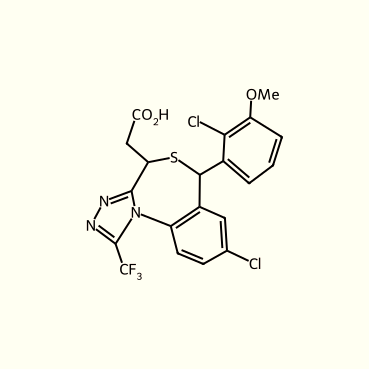 COc1cccc(C2SC(CC(=O)O)c3nnc(C(F)(F)F)n3-c3ccc(Cl)cc32)c1Cl